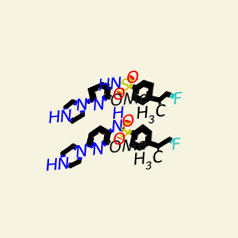 COc1nc(N2CCNCC2)ccc1NS(=O)(=O)c1ccc([C@@H](C)CF)cc1.COc1nc(N2CCNCC2)ccc1NS(=O)(=O)c1ccc([C@H](C)CF)cc1